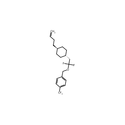 C=CCC[C@H]1CC[C@H](CC(F)(F)OCc2ccc(C(F)(F)F)cc2)CC1